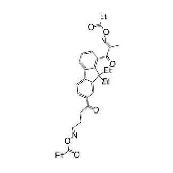 CCC(=O)ON=CCCC(=O)c1ccc2c(c1)C(CC)(CC)c1c(C(=O)C(C)=NOC(=O)CC)cccc1-2